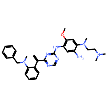 C=C(c1ncnc(Nc2cc(N)c(N(C)CCN(C)C)cc2OC)n1)c1ccccc1N(C)Cc1ccccc1